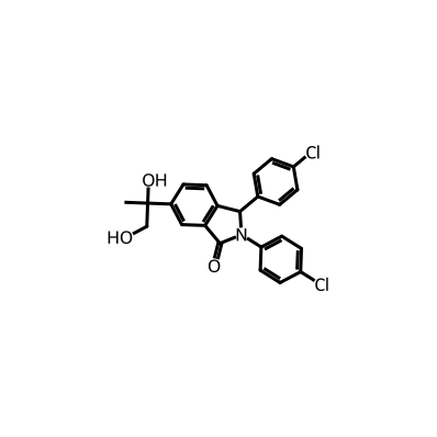 CC(O)(CO)c1ccc2c(c1)C(=O)N(c1ccc(Cl)cc1)C2c1ccc(Cl)cc1